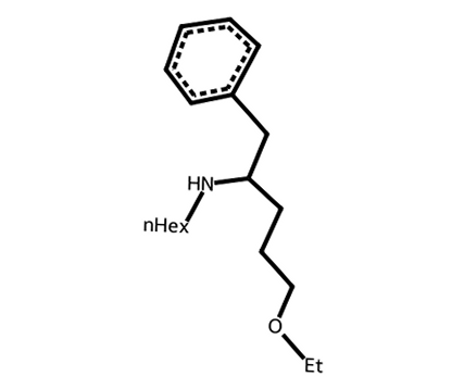 CCCCCCNC(CCCOCC)Cc1ccccc1